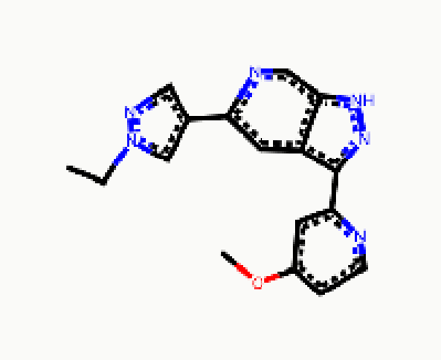 CCn1cc(-c2cc3c(-c4cc(OC)ccn4)n[nH]c3cn2)cn1